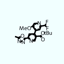 COc1cnc(C(F)F)cc1-c1cc(-c2nnc(C)o2)ncc1C(=O)OC(C)(C)C